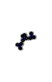 C1=CC2c3cc(-c4ccc(N(c5ccc(-c6ccc7c8ccccc8n(-c8ccccc8)c7c6)cc5)c5cccc6ccccc56)cc4)ccc3N(c3ccccc3)C2C=C1